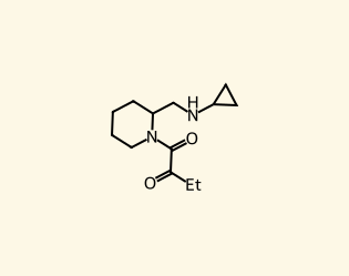 CCC(=O)C(=O)N1CCCCC1CNC1CC1